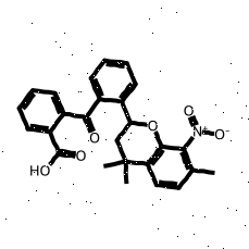 Cc1ccc2c(c1[N+](=O)[O-])OC(c1ccccc1C(=O)c1ccccc1C(=O)O)CC2(C)C